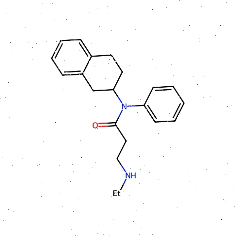 CCNCCC(=O)N(c1ccccc1)C1CCc2ccccc2C1